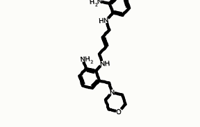 Nc1ccccc1NC/C=C/CNc1c(N)cccc1CN1CCOCC1